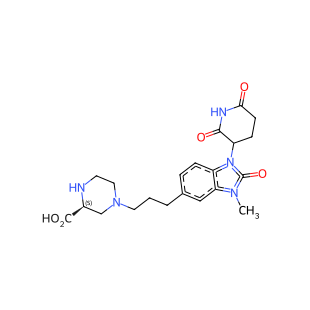 Cn1c(=O)n(C2CCC(=O)NC2=O)c2ccc(CCCN3CCN[C@H](C(=O)O)C3)cc21